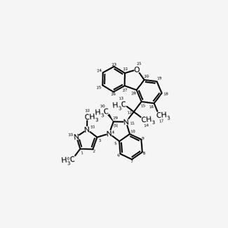 Cc1cc(N2c3ccccc3N(C(C)(C)c3c(C)ccc4oc5ccccc5c34)[C@@H]2C)n(C)n1